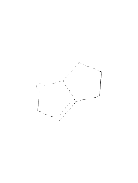 C1=C2CCCC2OC1